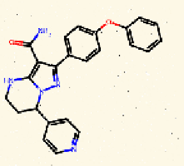 NC(=O)c1c(-c2ccc(Oc3ccccc3)cc2)nn2c1NCCC2c1ccncc1